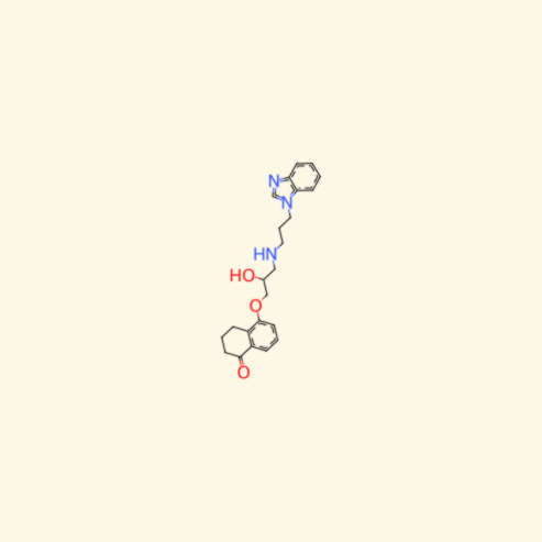 O=C1CCCc2c(OCC(O)CNCCCn3cnc4ccccc43)cccc21